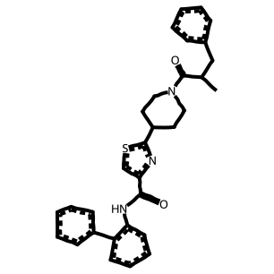 CC(Cc1ccccc1)C(=O)N1CCC(c2nc(C(=O)Nc3ccccc3-c3ccccc3)cs2)CC1